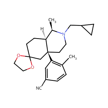 Cc1ccc(C#N)cc1[C@]12CCN(CC3CC3)[C@H](C)[C@@H]1CCC1(C2)OCCO1